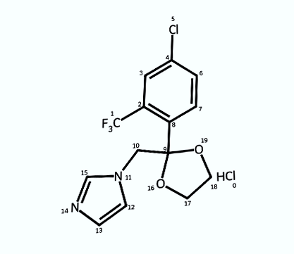 Cl.FC(F)(F)c1cc(Cl)ccc1C1(Cn2ccnc2)OCCO1